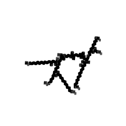 CCCCCCCCCCCC(=O)CC(=O)NC(COCCC(CCCCCCC)OC(C)=O)COP(=O)(O)OCCNC(=O)NCCOP(=O)(O)OCC(COCCC(CCCCCCC)OC(=O)CCCCCCCCCCC)NC(=O)CC(=O)CCCCCCCCCCC